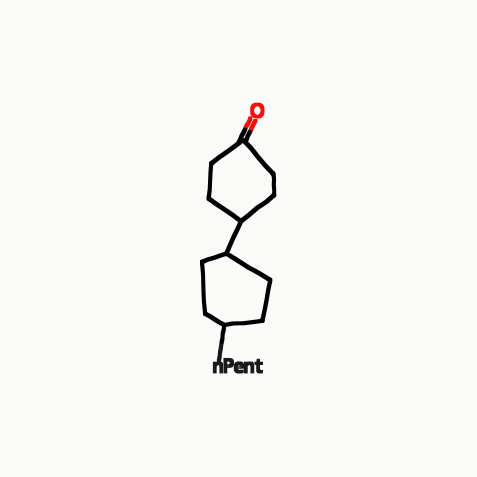 CCCCCC1CCC(C2CCC(=O)CC2)CC1